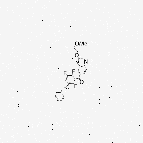 COCCOc1cnc2ccc(C(=O)c3c(F)c(F)cc(OCc4ccccc4)c3F)cc2n1